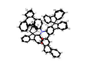 c1ccc2c(c1)-c1cccc(N(c3ccc4c5ccccc5c5ccccc5c4c3)c3cc4c(cc3-c3ccc5ccc6ccccc6c5c3)-c3ccccc3C43c4ccccc4-c4ccccc43)c1C21CCCC1